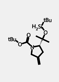 C=C1C[C@@H](C(C)(C)O[SiH2]C(C)(C)C)N(C(=O)OC(C)(C)C)C1